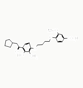 COc1cc(C(=O)O)ccc1OCCCCOc1ccc(C(=O)CC2CCCC2)c(O)c1C